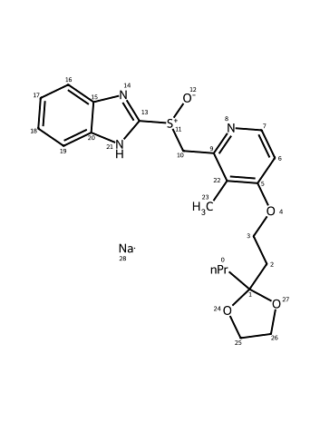 CCCC1(CCOc2ccnc(C[S+]([O-])c3nc4ccccc4[nH]3)c2C)OCCO1.[Na]